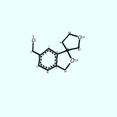 ClCc1ccc2c(c1)C1(CCOC1)OC2